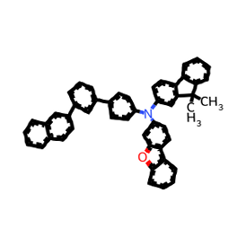 CC1(C)c2ccccc2-c2ccc(N(c3ccc(-c4cccc(-c5ccc6ccccc6c5)c4)cc3)c3ccc4c(c3)oc3ccccc34)cc21